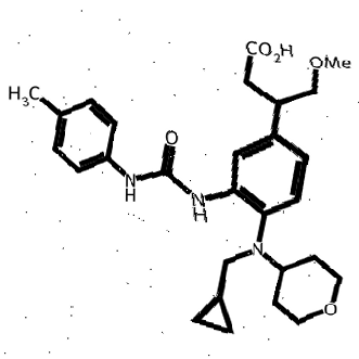 COCC(CC(=O)O)c1ccc(N(CC2CC2)C2CCOCC2)c(NC(=O)Nc2ccc(C)cc2)c1